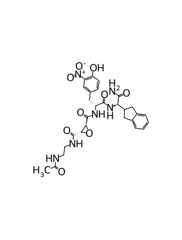 CC(=O)NCCNC(=O)[C@H]1O[C@@H]1C(=O)N[C@H](Cc1ccc(O)c([N+](=O)[O-])c1)C(=O)N[C@@H](C(N)=O)C1Cc2ccccc2C1